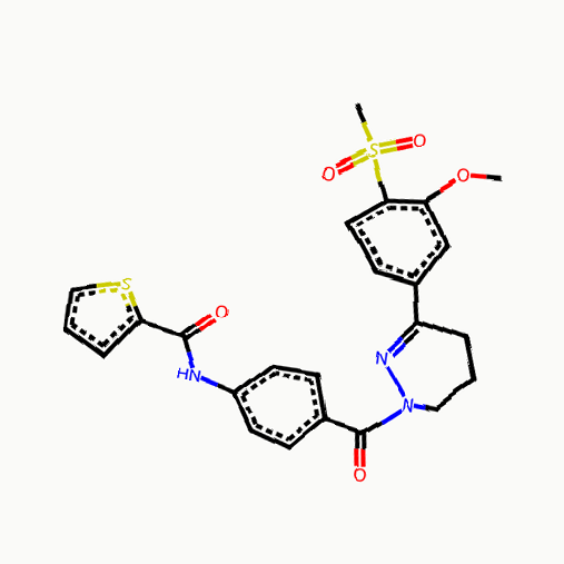 COc1cc(C2=NN(C(=O)c3ccc(NC(=O)c4cccs4)cc3)CCC2)ccc1S(C)(=O)=O